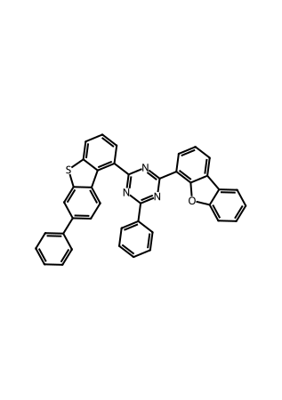 c1ccc(-c2ccc3c(c2)sc2cccc(-c4nc(-c5ccccc5)nc(-c5cccc6c5oc5ccccc56)n4)c23)cc1